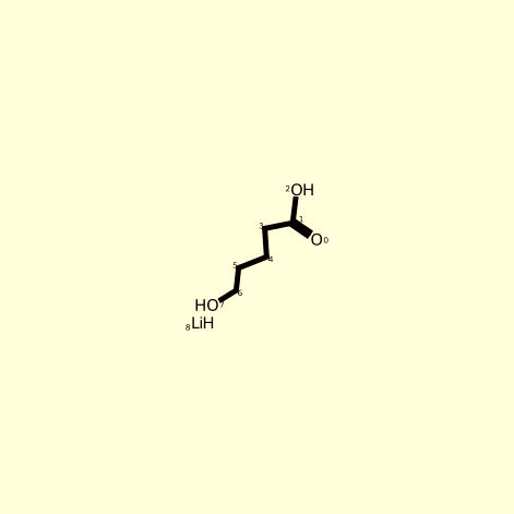 O=C(O)CCCCO.[LiH]